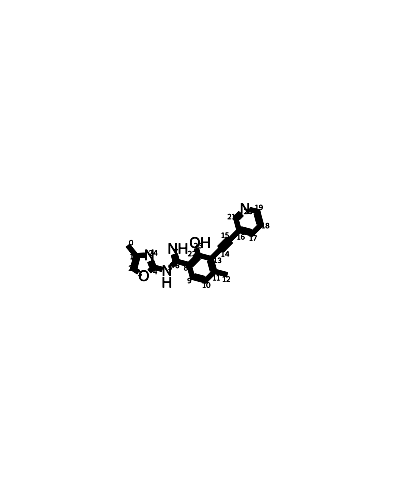 Cc1coc(NC(=N)c2ccc(C)c(C#Cc3cccnc3)c2O)n1